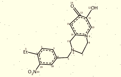 CCc1ccc(CN2CCn3cc(O)c(=O)cc3C2)cc1[N+](=O)[O-]